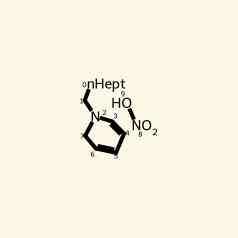 CCCCCCCCN1C=CC=CC1.O=[N+]([O-])O